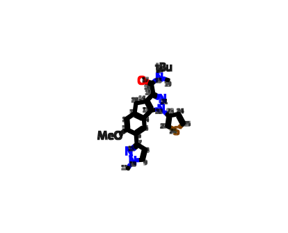 COc1cc2c(cc1-c1ccn(C)n1)-c1c(c(C(=O)N(C)C(C)(C)C)nn1-c1ccsc1)C2